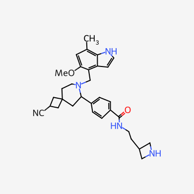 COc1cc(C)c2[nH]ccc2c1CN1CCC2(CC(C#N)C2)CC1c1ccc(C(=O)NCCC2CNC2)cc1